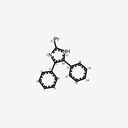 C[C](C)c1nc(-c2ccccc2)c(-c2ccccc2)[nH]1